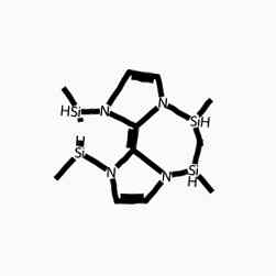 C[SiH](C)N1C=CN([SiH](C)C)C1=C1N([SiH](C)C)C=CN1[SiH](C)C